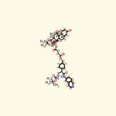 CC(C)(C)OC(=O)NCC(C(=O)Nc1ccc2cnccc2c1)c1ccc(COC(=O)CCC(=O)OCC(=O)[C@@]23OC(C)(C)O[C@@H]2C[C@H]2[C@@H]4CCC5=CC(=O)C=C[C@]5(C)[C@@]4(F)[C@@H](O)C[C@@]23C)cc1